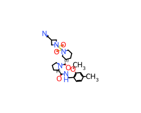 COc1cc(C)ccc1CNC(=O)[C@H]1CCCN1C(=O)[C@H]1CCCN(S(=O)(=O)N2CC(C#N)C2)C1